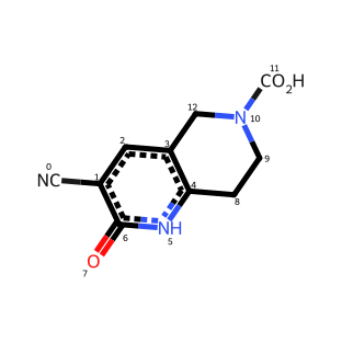 N#Cc1cc2c([nH]c1=O)CCN(C(=O)O)C2